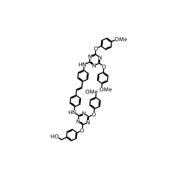 COc1ccc(Oc2nc(Nc3ccc(C=Cc4ccc(Nc5nc(Oc6ccc(OC)cc6)nc(Oc6ccc(OC)cc6)n5)cc4)cc3)nc(Oc3ccc(CO)cc3)n2)cc1